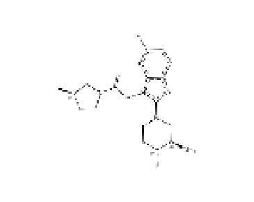 C[C@@H]1CCN(C(=O)Cn2c(N3CC[C@@H](F)[C@H](N)C3)nc3ccc(F)cc32)C1